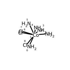 [NH2][Co]([NH2])([NH2])([NH2])([NH2])([Cl])([Cl])[Cl]